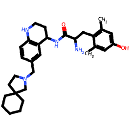 Cc1cc(O)cc(C)c1CC(N)C(=O)NC1CCNc2ccc(CN3CCC4(CCCCC4)C3)cc21